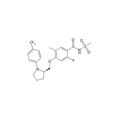 Cc1cc(C(=O)NS(C)(=O)=O)c(F)cc1OC[C@H]1CCCN1c1ccc(C(F)(F)F)cc1